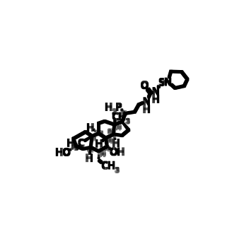 CC[C@H]1[C@@H](O)[C@@H]2[C@H](CC[C@]3(C)[C@@H]([C@H](P)CCNC(=O)NSN4CCCCC4)CC[C@@H]23)[C@@]2(C)CC[C@@H](O)C[C@@H]12